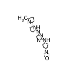 Cc1cccc(-c2cccc(Nc3ccnc(Nc4ccc(N5CCOCC5)cc4)n3)n2)n1